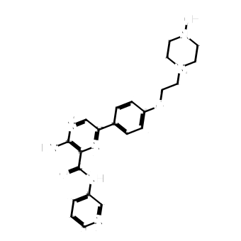 CN1CCN(CCOc2ccc(-c3cnc(N)c(C(=O)Nc4cccnc4)n3)cc2)CC1